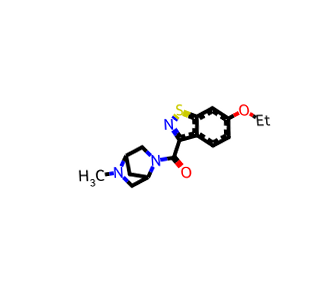 CCOc1ccc2c(C(=O)N3CC4CC3CN4C)nsc2c1